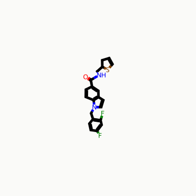 O=C(NCC1CC=CS1)c1ccc2c(ccn2Cc2ccc(F)cc2F)c1